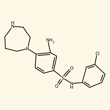 Nc1cc(S(=O)(=O)Nc2cccc(Cl)c2)ccc1N1CCCNCC1